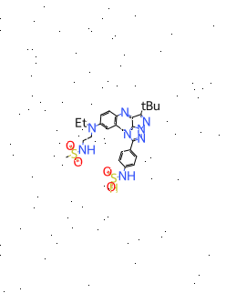 CCN(CCNS(C)(=O)=O)c1ccc(/N=C2/C(C(C)(C)C)=Nn3nc(-c4ccc(N[SH](=O)=O)cc4)nc32)c(C)c1